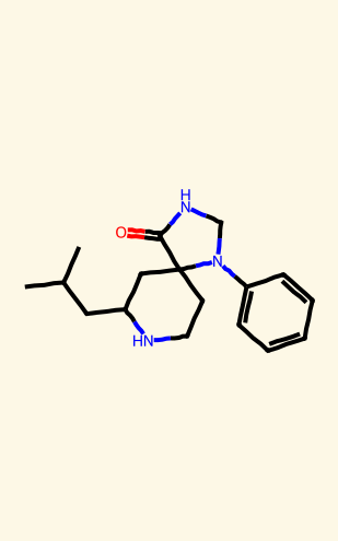 CC(C)CC1CC2(CCN1)C(=O)NCN2c1ccccc1